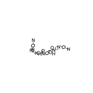 N#Cc1ccc(CN2CCC(NC(=O)c3cc4cc(NC(=O)C5CCN(Cc6cnn(-c7ccc(C#N)cc7)c6)CC5)ccc4o3)CC2)cc1